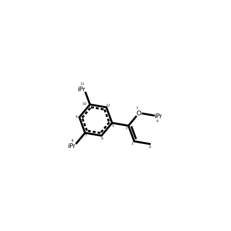 C/C=C(\OC(C)C)c1cc(C(C)C)cc(C(C)C)c1